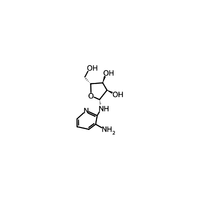 Nc1cccnc1N[C@@H]1O[C@H](CO)[C@@H](O)[C@H]1O